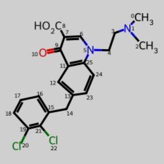 CN(C)CCn1cc(C(=O)O)c(=O)c2cc(Cc3cccc(Cl)c3Cl)ccc21